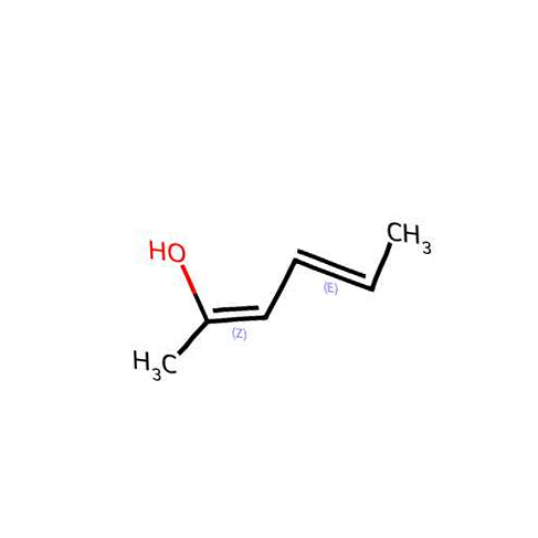 C/C=C/C=C(/C)O